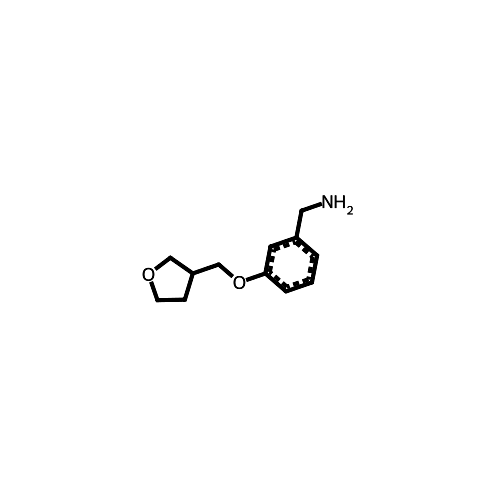 NCc1cccc(OCC2CCOC2)c1